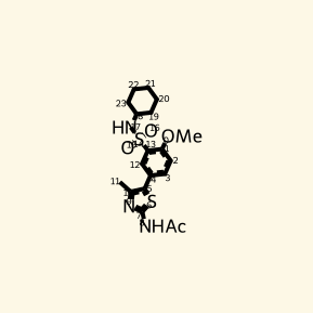 COc1ccc(-c2sc(NC(C)=O)nc2C)cc1S(=O)(=O)NC1CCCCC1